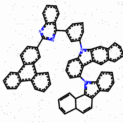 C1=CC2C=Cc3c(n(-c4cccc5c4c4cc6ccccc6cc4n5-c4cccc(-c5nc(-c6ccc7c8ccccc8c8ccccc8c7c6)nc6ccccc56)c4)c4ccccc34)C2C=C1